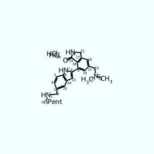 CCCCCNCc1ccc2[nH]c(-c3cc(CN(C)C)cc4c3C(=O)NC4)cc2c1.Cl.Cl